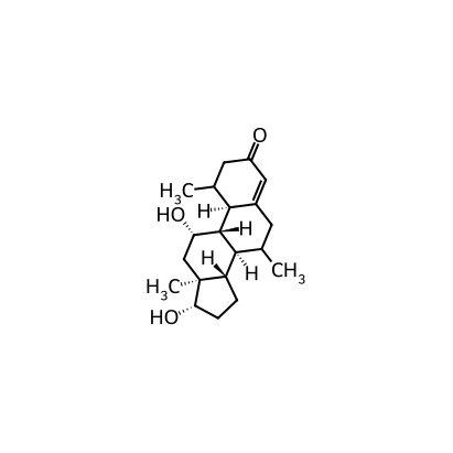 CC1CC2=CC(=O)CC(C)[C@@H]2[C@@H]2[C@@H]1[C@@H]1CC[C@H](O)[C@@]1(C)C[C@@H]2O